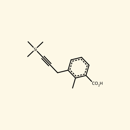 Cc1c(CC#C[Si](C)(C)C)cccc1C(=O)O